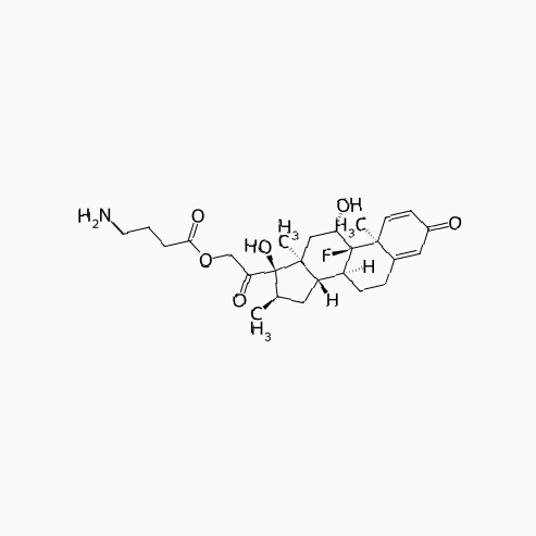 C[C@@H]1C[C@H]2[C@@H]3CCC4=CC(=O)C=C[C@]4(C)[C@@]3(F)[C@@H](O)C[C@]2(C)[C@@]1(O)C(=O)COC(=O)CCCN